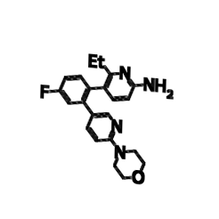 CCc1nc(N)ccc1-c1ccc(F)cc1-c1ccc(N2CCOCC2)nc1